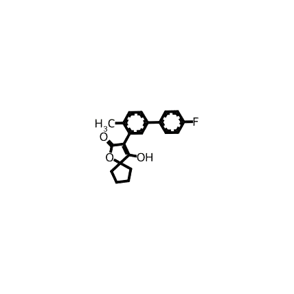 Cc1ccc(-c2ccc(F)cc2)cc1C1=C(O)C2(CCCC2)OC1=O